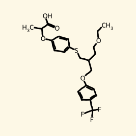 CCOCCC(COc1ccc(C(F)(F)F)cc1)CSc1ccc(OC(C)C(=O)O)cc1